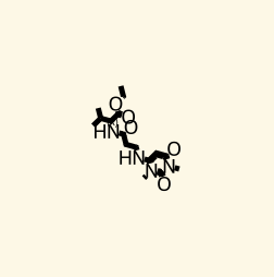 CCOC(=O)[C@H](NC(=O)CCNc1cc(=O)n(C)c(=O)n1C)C(C)C